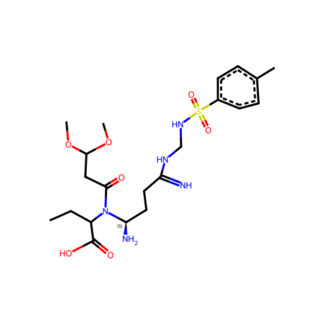 CCC(C(=O)O)N(C(=O)CC(OC)OC)[C@H](N)CCC(=N)NCNS(=O)(=O)c1ccc(C)cc1